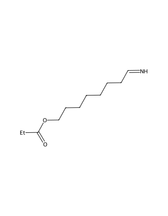 CCC(=O)OCCCCCCCC=N